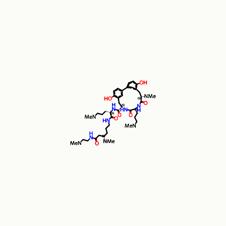 CNCCC[C@H](NC(=O)[C@@H]1Cc2cc(ccc2O)-c2ccc(O)c(c2)C[C@H](NC)C(=O)N[C@@H](CCCNC)C(=O)N1)C(=O)NCCC[C@@H](CC(=O)NCCNC)NC